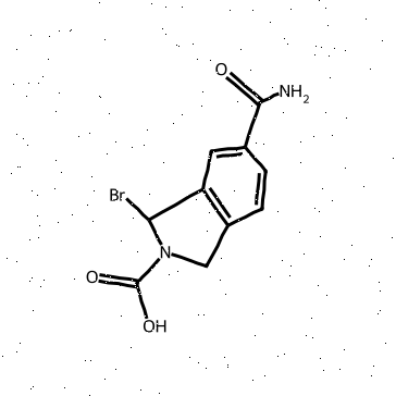 NC(=O)c1ccc2c(c1)C(Br)N(C(=O)O)C2